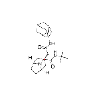 CC(C)(C)NC(=O)CN1[C@@H]2CC[C@H]1C[C@@H](CC(=O)NC13CC4CC(CC1C4)C3)C2